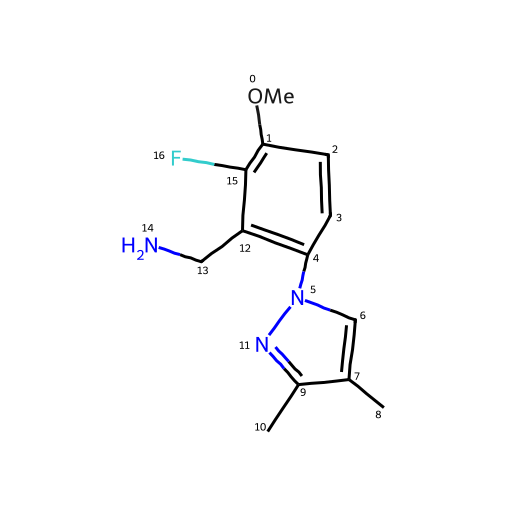 COc1ccc(-n2cc(C)c(C)n2)c(CN)c1F